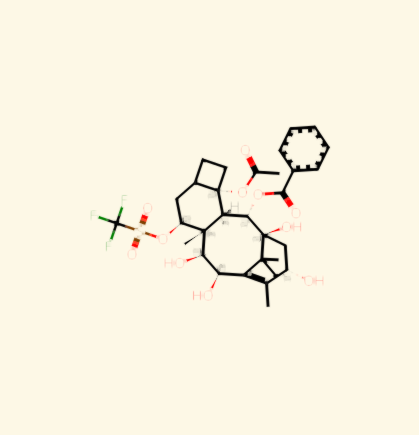 CC(=O)O[C@@]12CCC1C[C@H](OS(=O)(=O)C(F)(F)F)[C@@]1(C)[C@H](O)[C@H](O)C3=C(C)[C@@H](O)C[C@@](O)([C@@H](OC(=O)c4ccccc4)[C@@H]12)C3(C)C